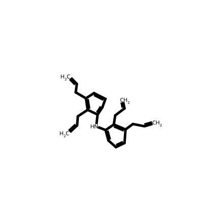 C=CCc1cccc(Nc2cccc(CC=C)c2CC=C)c1CC=C